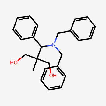 CC(CO)(CO)C(c1ccccc1)N(Cc1ccccc1)Cc1ccccc1